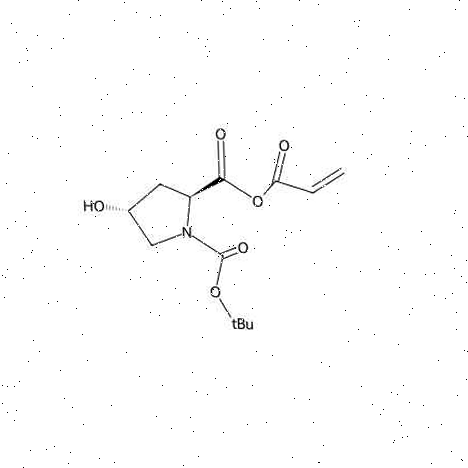 C=CC(=O)OC(=O)[C@@H]1C[C@@H](O)CN1C(=O)OC(C)(C)C